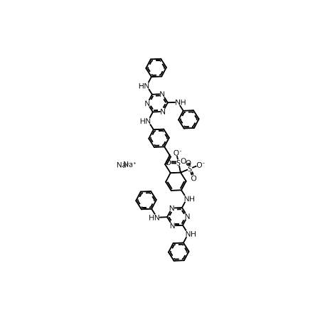 O=S(=O)([O-])C1(S(=O)(=O)[O-])C=C(Nc2nc(Nc3ccccc3)nc(Nc3ccccc3)n2)C=CC1C=Cc1ccc(Nc2nc(Nc3ccccc3)nc(Nc3ccccc3)n2)cc1.[Na+].[Na+]